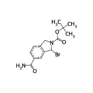 CC(C)(C)OC(=O)N1Cc2ccc(C(N)=O)cc2C1Br